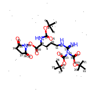 CC(C)(C)OC(=O)N[C@@H](CCCNC(=N)N(C(=O)OC(C)(C)C)C(=O)OC(C)(C)C)C(=O)ON1C(=O)CCC1=O